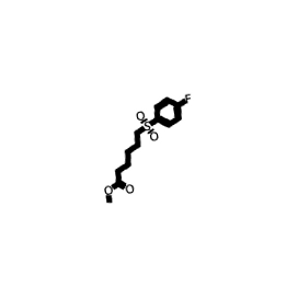 COC(=O)CCCCCS(=O)(=O)c1ccc(F)cc1